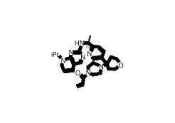 C=CC(=O)N1CCN(C2(c3ccc([C@H](C)Nc4ncc5c(n4)N(C(C)C)CC=C5)nc3)CCOCC2)CC1